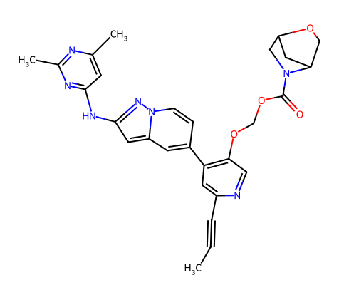 CC#Cc1cc(-c2ccn3nc(Nc4cc(C)nc(C)n4)cc3c2)c(OCOC(=O)N2CC3CC2CO3)cn1